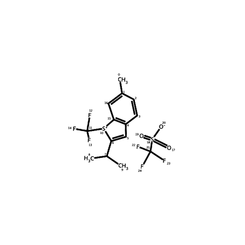 Cc1ccc2cc(C(C)C)[s+](C(F)(F)F)c2c1.O=S(=O)([O-])C(F)(F)F